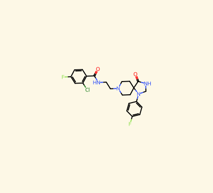 O=C(NCCN1CCC2(CC1)C(=O)NCN2c1ccc(F)cc1)c1ccc(F)cc1Cl